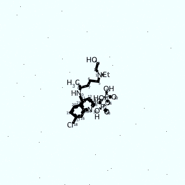 CCN(CCO)CCCC(C)Nc1ccnc2cc(Cl)ccc12.O=P(O)(O)OP(=O)(O)O